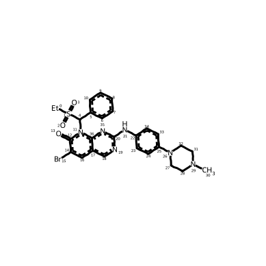 CCS(=O)(=O)C(c1ccccc1)n1c(=O)c(Br)cc2cnc(Nc3ccc(N4CCN(C)CC4)cc3)nc21